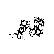 COc1nccnc1-n1cc(C(=O)NCC2(N3CCN(C(C)C)CC3)CCCCC2)c2c(Cl)cccc21